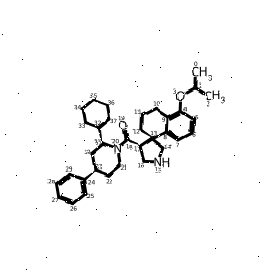 CC(C)Oc1cccc2c1CCC[C@]21CNC[C@H]1C(=O)N1CC[C@@H](c2ccccc2)C[C@H]1C1CCCCC1